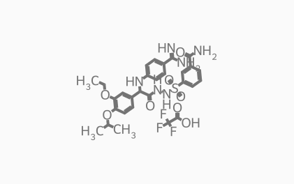 CCOc1cc(C(Nc2ccc(C(=N)N)cc2)C(=O)NNS(=O)(=O)c2cccc(C(N)=O)c2)ccc1OC(C)C.O=C(O)C(F)(F)F